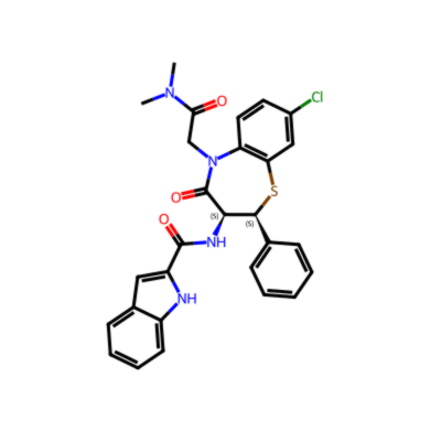 CN(C)C(=O)CN1C(=O)[C@H](NC(=O)c2cc3ccccc3[nH]2)[C@H](c2ccccc2)Sc2cc(Cl)ccc21